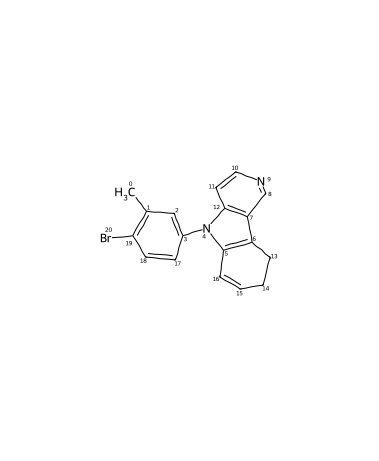 Cc1cc(-n2c3c(c4cnccc42)CCC=C3)ccc1Br